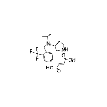 CC(C)N(Cc1ccccc1C(F)(F)F)C1CCNC1.O=C(O)/C=C/C(=O)O